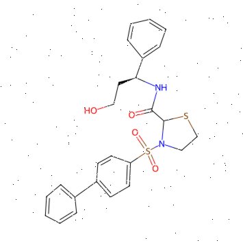 O=C(N[C@@H](CCO)c1ccccc1)C1SCCN1S(=O)(=O)c1ccc(-c2ccccc2)cc1